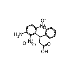 Nc1ccc([N+](=O)[O-])c(C(CC(=O)O)c2ccccc2)c1[N+](=O)[O-]